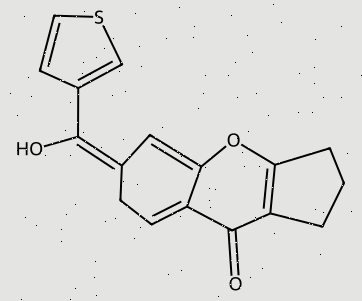 O=c1c2c(oc3c1=CCC(=C(O)c1ccsc1)C=3)CCC2